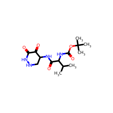 CC(C)C(NC(=O)OC(C)(C)C)C(=O)NC1CNNC(=O)C1=O